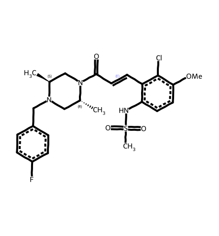 COc1ccc(NS(C)(=O)=O)c(/C=C/C(=O)N2C[C@H](C)N(Cc3ccc(F)cc3)C[C@H]2C)c1Cl